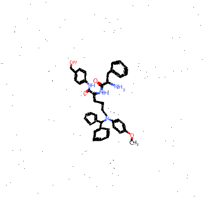 COc1ccc(N(CCCCC(NC(=O)C(N)Cc2ccccc2)C(=O)Nc2ccc(CO)cc2)C(c2ccccc2)c2ccccc2)cc1